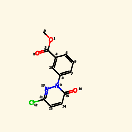 COC(=O)c1cccc(-n2nc(Cl)ccc2=O)c1